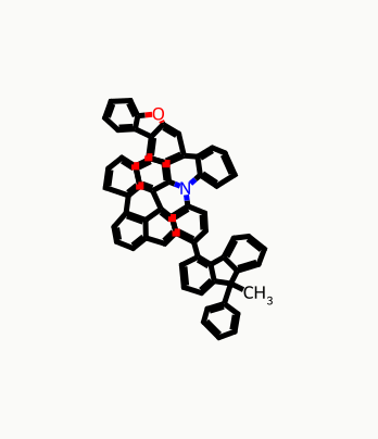 CC1(c2ccccc2)c2ccccc2-c2c(-c3ccc(N(c4ccccc4-c4ccc5c(c4)oc4ccccc45)c4ccccc4-c4cccc5cccc(-c6ccccc6)c45)cc3)cccc21